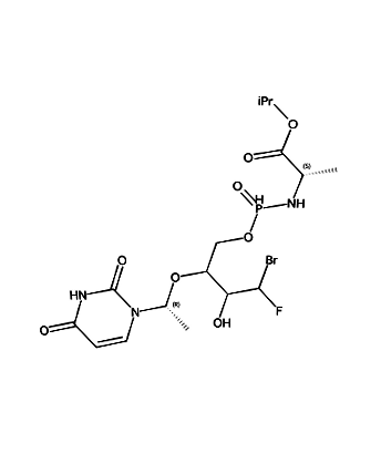 CC(C)OC(=O)[C@H](C)N[PH](=O)OCC(O[C@H](C)n1ccc(=O)[nH]c1=O)C(O)C(F)Br